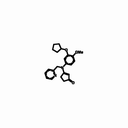 COc1ccc(N(Cc2ccccn2)C2=CC(=O)CC2)cc1OC1CCCC1